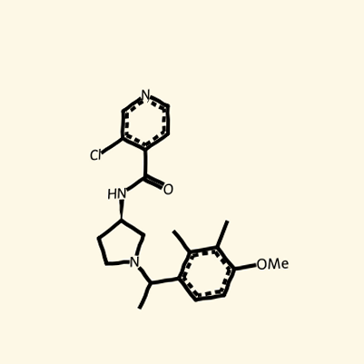 COc1ccc(C(C)N2CC[C@@H](NC(=O)c3ccncc3Cl)C2)c(C)c1C